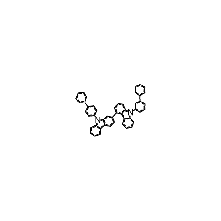 c1ccc(-c2ccc(-n3c4ccccc4c4ccc(-c5cccc6c5c5ccccc5n6-c5cccc(-c6ccccc6)c5)cc43)cc2)cc1